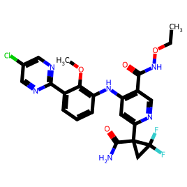 CCONC(=O)c1cnc(C2(C(N)=O)CC2(F)F)cc1Nc1cccc(-c2ncc(Cl)cn2)c1OC